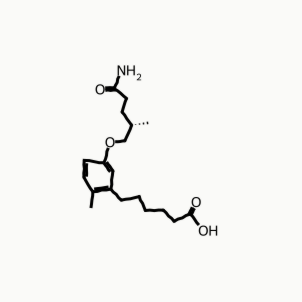 Cc1ccc(OC[C@@H](C)CCC(N)=O)cc1CCCCCC(=O)O